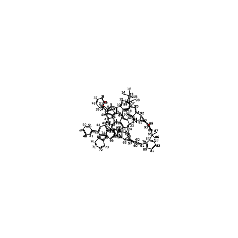 CC(C)(C)c1ccc2c(c1)c1cc(C(C)(C)C)ccc1n2-c1cc2c(c(C#N)c1-n1c3ccc(-c4ccccc4)cc3n3c4cc(-c5ccccc5)ccc4nc13)-n1c3ccc(cc3n3c4cc(-c5ccccc5)ccc4nc13)-c1ccccc1C(C)(C)c1ccc3c(c1)c1cc(C(C)(C)C)ccc1n3-2